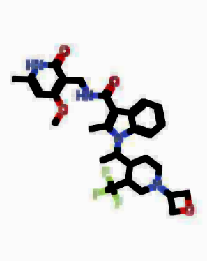 COc1cc(C)[nH]c(=O)c1CNC(=O)c1c(C)n(C(C)C2CCN(C3COC3)CC2C(F)(F)F)c2ccccc12